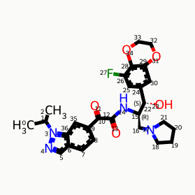 CC(C)n1ncc2ccc(C(=O)C(=O)N[C@H](CN3CCCC3)[C@@H](O)c3cc(F)c4c(c3)OCCO4)cc21